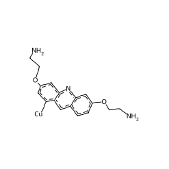 NCCOc1ccc2cc3[c]([Cu])cc(OCCN)cc3nc2c1